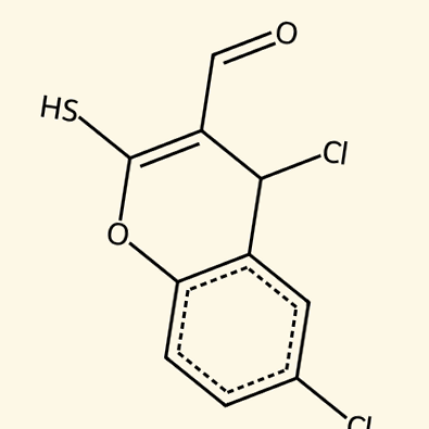 O=CC1=C(S)Oc2ccc(Cl)cc2C1Cl